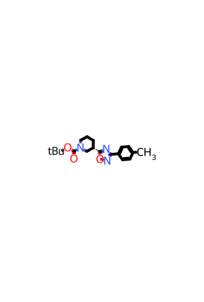 Cc1ccc(-c2noc([C@H]3CCCN(C(=O)OC(C)(C)C)C3)n2)cc1